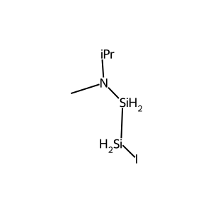 CC(C)N(C)[SiH2][SiH2]I